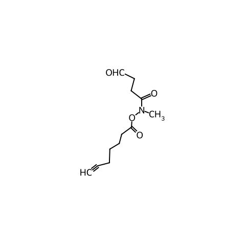 C#CCCCCC(=O)ON(C)C(=O)CCC=O